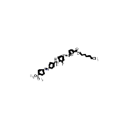 CCCCCCCOC(=O)c1ccc(NNc2ccc(NNc3ccc(/N=N/c4ccc(N(C)C)cc4)cc3)c(F)c2)s1